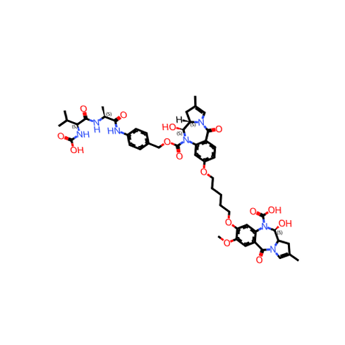 COc1cc2c(cc1OCCCCCOc1ccc3c(c1)N(C(=O)OCc1ccc(NC(=O)[C@H](C)NC(=O)[C@@H](NC(=O)O)C(C)C)cc1)[C@@H](O)[C@@H]1CC(C)=CN1C3=O)N(C(=O)O)[C@@H](O)C1CC(C)=CN1C2=O